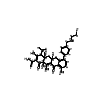 CN(C)[C@@H]1C(O)=C(C(N)=O)C(=O)[C@@]2(O)C(O)=C3C(=O)c4c(O)ccc(-c5ccc(CNCCF)cc5)c4C[C@H]3C[C@@H]12